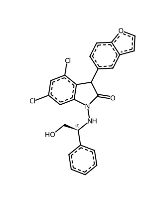 O=C1C(c2ccc3occc3c2)c2c(Cl)cc(Cl)cc2N1N[C@H](CO)c1ccccc1